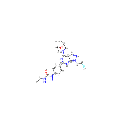 CCNC(=O)Nc1ccc(-c2nc(N3CC4CCC(C3)O4)c3cnn(CCF)c3n2)cc1